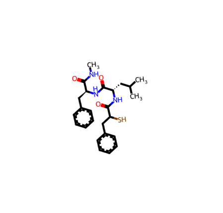 CNC(=O)[C@H](Cc1ccccc1)NC(=O)[C@H](CC(C)C)NC(=O)C(S)Cc1ccccc1